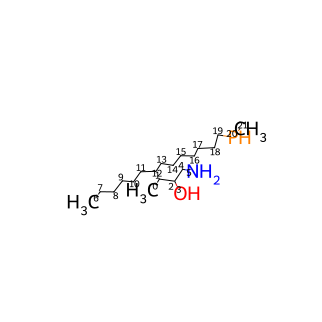 CCC(O)CN.CCCCCCCCCCCCCCPC